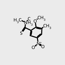 COc1c(C)cc([N+](=O)[O-])cc1C(=S)N(C)C